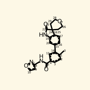 Cc1ccc(C(=O)Nc2ccon2)cc1-c1ccc2c(c1)NC(=O)C21CCOCC1